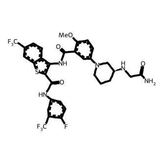 COc1ccc(N2CCC[C@H](NCC(N)=O)C2)cc1C(=O)Nc1c(C(=O)Nc2ccc(F)c(C(F)(F)F)c2)sc2cc(C(F)(F)F)ccc12